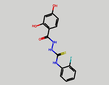 O=C(NNC(=S)Nc1ccccc1F)c1ccc(O)cc1O